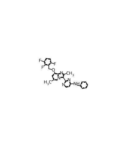 Cc1cc(OCc2c(F)ccc(F)c2F)c2nc(C)c(-c3nccc(NCc4ccccc4)n3)n2c1